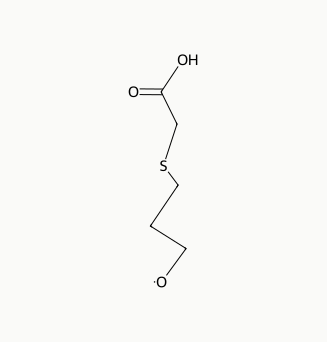 [O]CCCSCC(=O)O